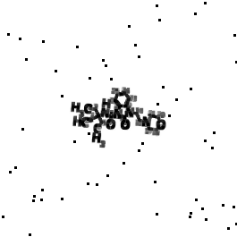 C#CC(CC)(CC)NC(=O)n1c(=O)n(CCN2CCOCC2)c2ccccc21